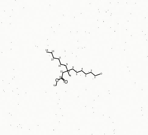 CCCCCCCC(C)(CCCCCC)CC(=O)OC